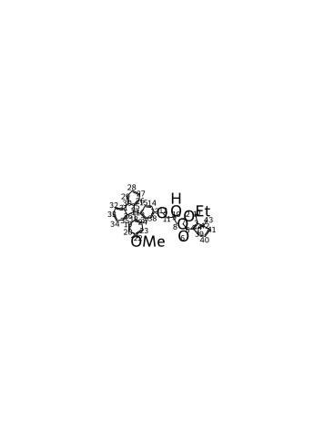 CCC(=O)C1C(C(=O)OCC(O)COc2ccc(C3(c4ccc(OC)cc4)c4ccccc4-c4ccccc43)cc2)C2C=CC1(C)C2